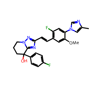 COc1cc(/C=C/c2nc3n(n2)CCCC3(O)c2ccc(F)cc2)c(F)cc1-n1cnc(C)c1